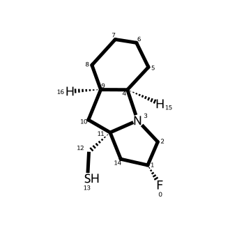 F[C@H]1CN2[C@@H]3CCCC[C@@H]3C[C@]2(CS)C1